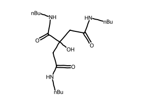 CCCCNC(=O)CC(O)(CC(=O)NCCCC)C(=O)NCCCC